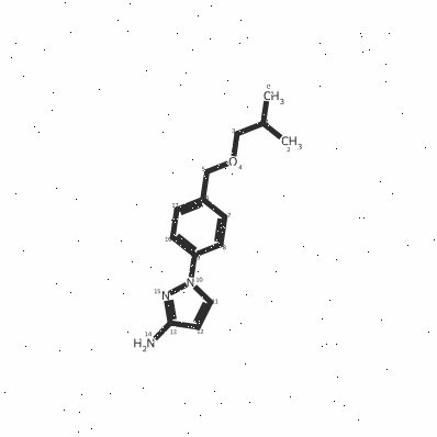 CC(C)COCc1ccc(-n2ccc(N)n2)cc1